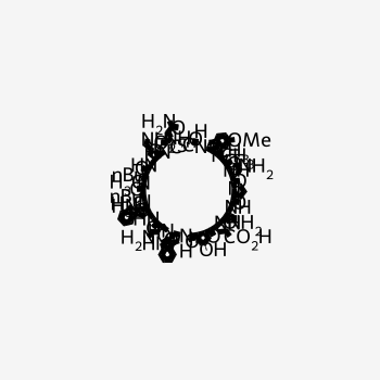 CCCC[C@H]1C(=O)N(C)[C@@H](CCCC)C(=O)N[C@@H](CCCN)C(=O)N[C@H](C(=O)NCC(N)=O)CSCC(=O)N[C@@H](Cc2ccc(OC)cc2)C(=O)N(C)[C@@H](C)C(=O)N[C@@H](CC(N)=O)C(=O)N2CCCC2C(=O)N[C@@H](CN)C(=O)N[C@@H](CCC(=O)O)C(=O)C2C[C@H](O)C[C@H]2C(=O)N[C@@H](Cc2c[nH]c3ccccc23)C(=O)N[C@@H](CCN)C(=O)N[C@@H](Cc2c[nH]c3ccccc23)C(=O)N1C